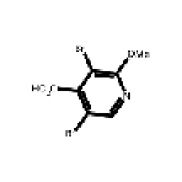 COc1ncc(Br)c(C(=O)O)c1Br